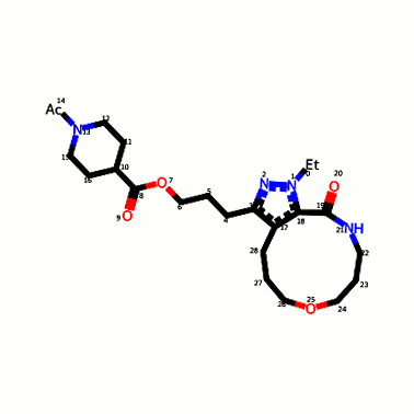 CCn1nc(CCCOC(=O)C2CCN(C(C)=O)CC2)c2c1C(=O)NCCCOCCC2